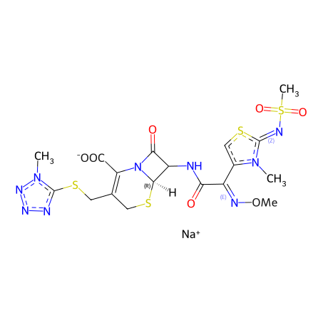 CO/N=C(/C(=O)NC1C(=O)N2C(C(=O)[O-])=C(CSc3nnnn3C)CS[C@H]12)c1cs/c(=N\S(C)(=O)=O)n1C.[Na+]